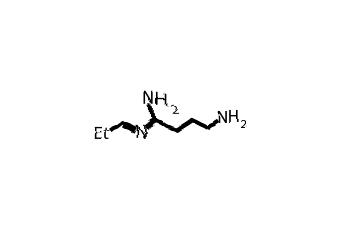 CCC=NC(N)CCCN